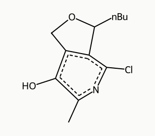 CCCCC1OCc2c(O)c(C)nc(Cl)c21